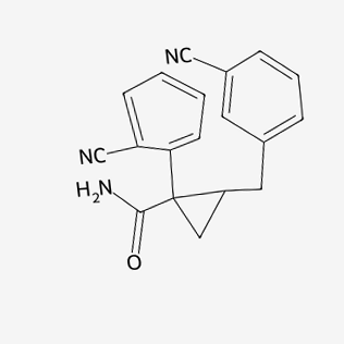 N#Cc1cccc(CC2CC2(C(N)=O)c2ccccc2C#N)c1